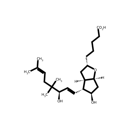 CC(C)=CCC(C)(C)[C@H](O)C=C[C@@H]1[C@H]2C[C@H](CCCCC(=O)O)O[C@H]2C[C@H]1O